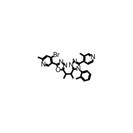 Cc1cc(Br)c(-c2nnc(C(C)C(C)c3nnc(-c4ccncc4C)n3-c3ccccc3C)o2)cn1